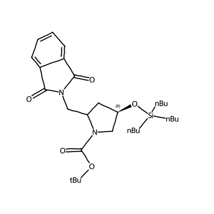 CCCC[Si](CCCC)(CCCC)O[C@@H]1CC(CN2C(=O)c3ccccc3C2=O)N(C(=O)OC(C)(C)C)C1